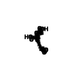 CS(=O)(=O)c1ccc(C=CCCCCOc2ccc(C(=O)c3cccc(C(=O)O)c3)cc2CCC(=O)O)cc1